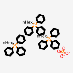 CCCCCC[P+](c1ccccc1)(c1ccccc1)c1ccccc1.CCCCCC[P+](c1ccccc1)(c1ccccc1)c1ccccc1.CCCCCC[P+](c1ccccc1)(c1ccccc1)c1ccccc1.O=P([O-])([O-])[O-]